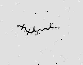 CNC(CCCCNC(=O)CC(C)(C)OCC(C)(C)S)C(C)=O